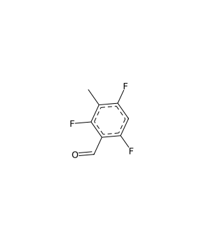 Cc1c(F)cc(F)c(C=O)c1F